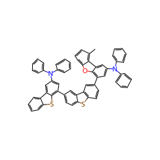 Cc1cccc2oc3c(-c4ccc5sc6ccc(-c7cc(N(c8ccccc8)c8ccccc8)cc8c7sc7ccccc78)cc6c5c4)cc(N(c4ccccc4)c4ccccc4)cc3c12